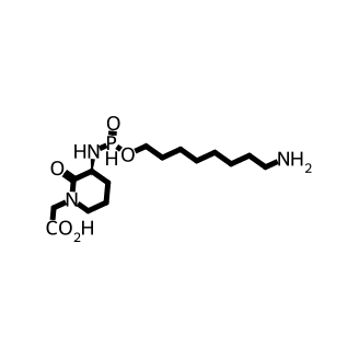 NCCCCCCCCO[PH](=O)N[C@H]1CCCN(CC(=O)O)C1=O